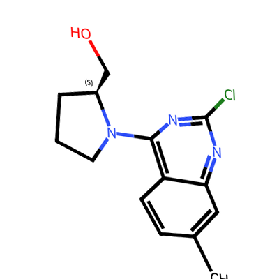 Cc1ccc2c(N3CCC[C@H]3CO)nc(Cl)nc2c1